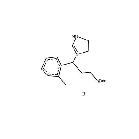 CCCCCCCCCCCCC(c1ccccc1C)[N+]1=CNCC1.[Cl-]